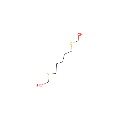 OCSCCCCCSCO